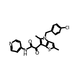 Cc1cc2c(s1)c(C(=O)C(=O)Nc1ccncc1)c(C)n2Cc1ccc(Cl)cc1